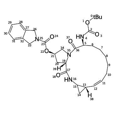 CC(C)(C)OC(=O)N[C@H]1CCCCC/C=C\[C@@H]2CC2NC(=O)[C@@H]2C[C@@H](OC(=O)N3Cc4ccccc4C3)CN2C1=O